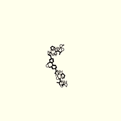 COC(=O)N[C@H](C(=O)N1CCC[C@H]1C1=NCC(c2ccc3c(c2)COCc2cc(-c4cnc([C@@H]5CCCN5C(=O)[C@@H](NC(=O)OC)C(C)C)[nH]4)ccc2-3)N1)C(C)C